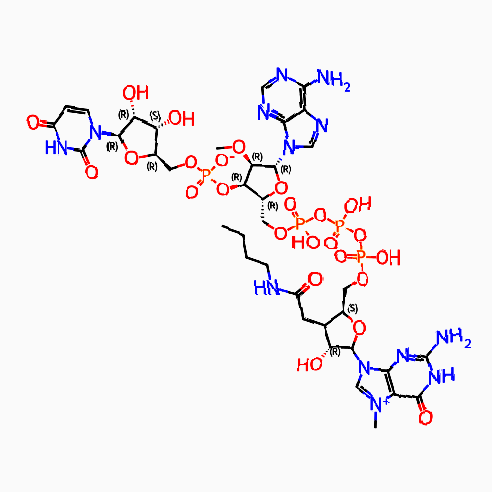 CCCCNC(=O)CC1[C@@H](O)C(n2c[n+](C)c3c(=O)[nH]c(N)nc32)O[C@@H]1COP(=O)(O)OP(=O)(O)OP(=O)(O)OC[C@H]1O[C@@H](n2cnc3c(N)ncnc32)[C@H](OC)[C@@H]1OP(=O)([O-])OC[C@H]1O[C@@H](n2ccc(=O)[nH]c2=O)[C@H](O)[C@@H]1O